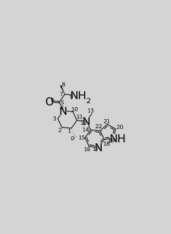 C[C@@H]1CCN(C(=O)[C@@H](C)N)CC1N(C)c1ccnc2[nH]ccc12